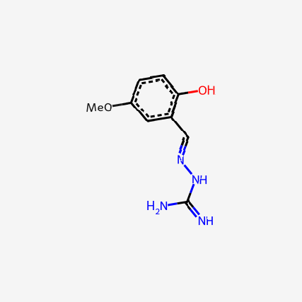 COc1ccc(O)c(C=NNC(=N)N)c1